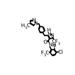 Cc1cnn(Cc2ccc(Cc3[nH]nc(C(F)(F)F)c3C(=O)NCc3c(C(F)(F)F)ccc(Cl)c3F)cc2)c1